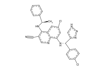 C[C@@H](Nc1c(C#N)cnc2c(N[C@@H](c3ccc(Cl)cc3)c3c[nH]nn3)cc(Cl)cc12)c1ccccc1